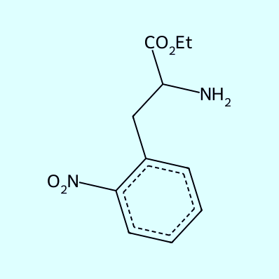 CCOC(=O)C(N)Cc1ccccc1[N+](=O)[O-]